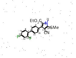 CCOC(=O)c1c(-c2ccc(-c3ccc(F)cc3F)cc2)c(C#N)c(SC)n1C